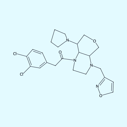 O=C(Cc1ccc(Cl)c(Cl)c1)N1CCN(Cc2ccon2)C2COCC(N3CCCC3)C21